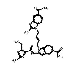 CCc1nc(C)oc1C(=O)Nc1nc2cc(C(N)=O)ccc2n1C/C=C/Cn1c(N)nc2cc(C(N)=O)ccc21